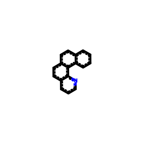 c1ccc2c(c1)ccc1ccc3cccnc3c12